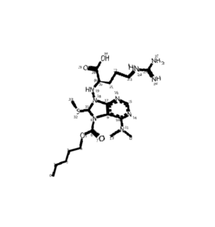 CCCCCOC(=O)N1c2c(N(C)C)ncnc2N(N[C@H](CCCNC(=N)N)C(=O)O)C1SC